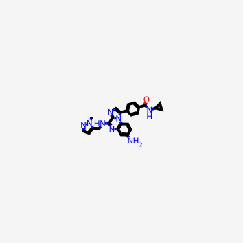 Cn1nccc1CNc1nc2cc(N)ccc2n2c(-c3ccc(C(=O)NC4CC4)cc3)cnc12